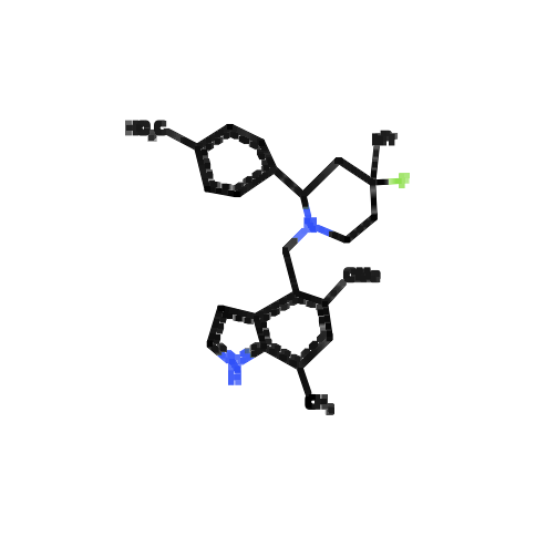 CCCC1(F)CCN(Cc2c(OC)cc(C)c3[nH]ccc23)C(c2ccc(C(=O)O)cc2)C1